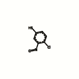 O=Nc1cc(S)ccc1Cl